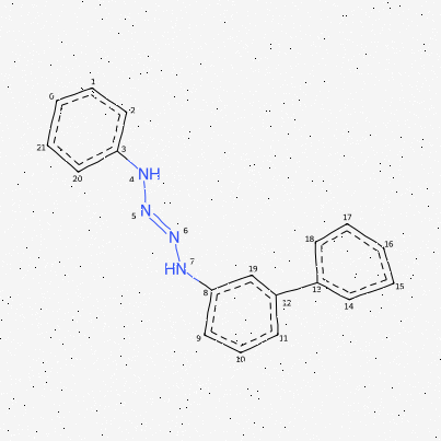 c1ccc(NN=NNc2cccc(-c3ccccc3)c2)cc1